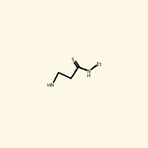 CCNC(=S)CC[NH]